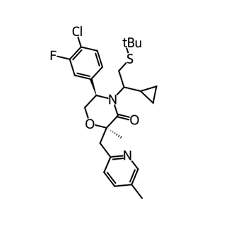 Cc1ccc(C[C@@]2(C)OC[C@@H](c3ccc(Cl)c(F)c3)N(C(CSC(C)(C)C)C3CC3)C2=O)nc1